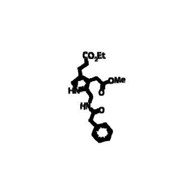 CCOC(=O)CCc1c[nH]c(CNC(=O)Cc2ccccc2)c1CC(=O)OC